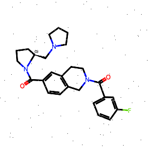 O=C(c1cccc(F)c1)N1CCc2cc(C(=O)N3CCC[C@H]3CN3CCCC3)ccc2C1